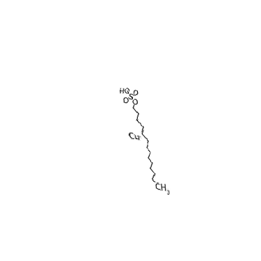 CCCCCCCCCCCCCCOS(=O)(=O)O.[Cu]